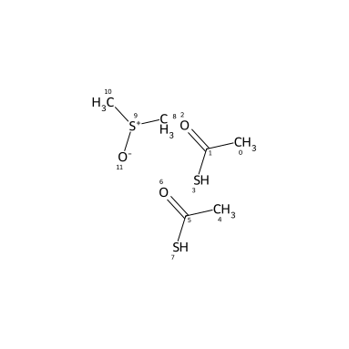 CC(=O)S.CC(=O)S.C[S+](C)[O-]